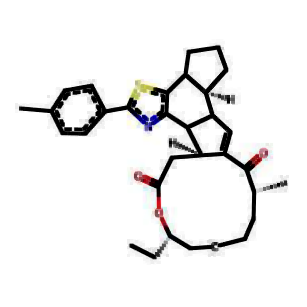 CC[C@H]1CCCC[C@@H](C)C(=O)C2=CC3C(c4nc(-c5ccc(C)cc5)sc4C4CCC[C@H]43)[C@@H]2CC(=O)O1